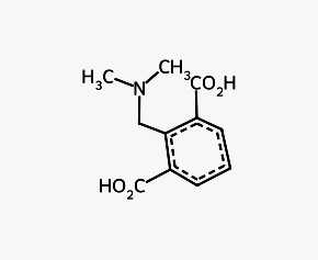 CN(C)Cc1c(C(=O)O)cccc1C(=O)O